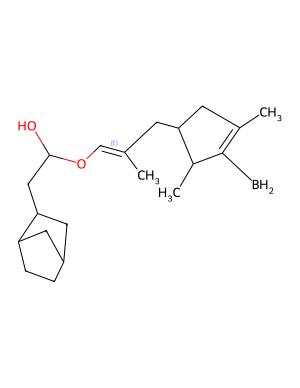 BC1=C(C)CC(C/C(C)=C/OC(O)CC2CC3CCC2C3)C1C